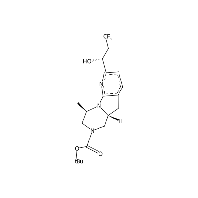 C[C@@H]1CN(C(=O)OC(C)(C)C)C[C@H]2Cc3ccc([C@H](O)CC(F)(F)F)nc3N21